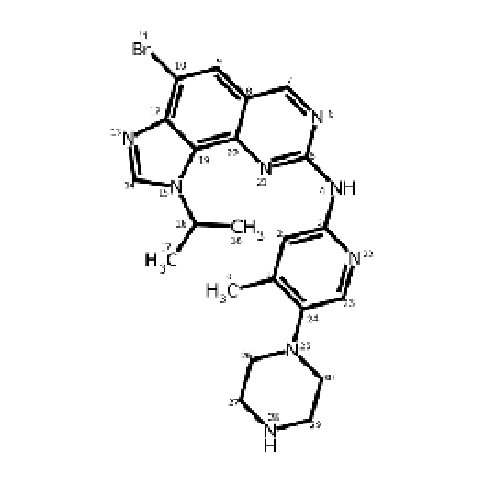 Cc1cc(Nc2ncc3cc(Br)c4ncn(C(C)C)c4c3n2)ncc1N1CCNCC1